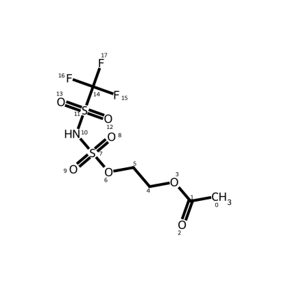 CC(=O)OCCOS(=O)(=O)NS(=O)(=O)C(F)(F)F